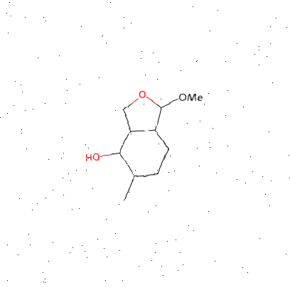 COC1OCC2C(O)C(C)CCC12